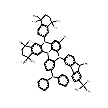 Cc1cc2c3c(c1)N(c1ccc4c(c1)C(C)(C)CCC4(C)C)c1cc4c(cc1B3c1ccc(N(c3ccccc3)c3ccccc3)cc1N2c1ccc2c(c1)-c1ccc(C(C)(C)C)cc1C2C)C(C)(C)CCC4(C)C